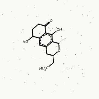 C[C@@H]1O[C@@H](CC(=O)O)Cc2cc3c(c(O)c21)C(=O)CCC3O